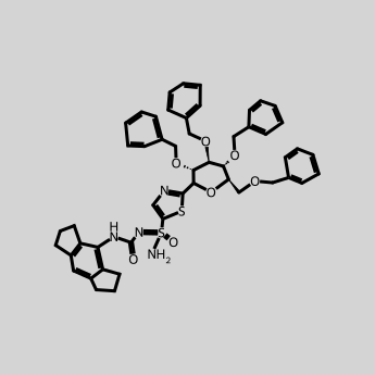 NS(=O)(=NC(=O)Nc1c2c(cc3c1CCC3)CCC2)c1cnc(C2O[C@H](COCc3ccccc3)[C@@H](OCc3ccccc3)[C@H](OCc3ccccc3)[C@H]2OCc2ccccc2)s1